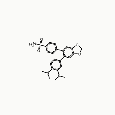 CN(C)c1ccc(-c2cc3c(cc2-c2ccc(S(N)(=O)=O)cc2)OCO3)cc1N(C)C